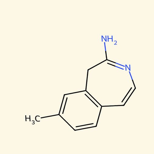 Cc1ccc2c(c1)CC(N)=NC=C2